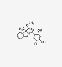 COC(=O)C1(C)c2ccccc2CN1C(=O)c1cc(Cl)c(O)cc1O